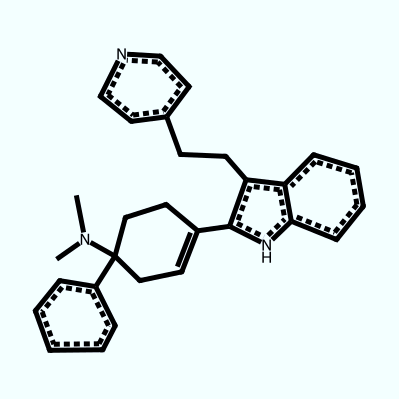 CN(C)C1(c2ccccc2)CC=C(c2[nH]c3ccccc3c2CCc2ccncc2)CC1